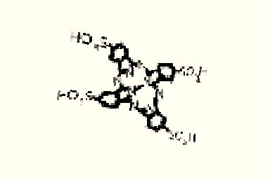 O=S(=O)(O)c1ccc2c(c1)C1=NC/2=N\c2c3ccc(S(=O)(=O)O)cc3c3n2Cn2/c(c4ccc(S(=O)(=O)O)cc4/c2=N/1)=N\C1=NC(=N\3)/c2cc(S(=O)(=O)O)ccc21